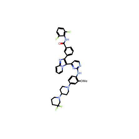 COc1cc(N2CCC(N3CCCC(F)(F)C3)CC2)ccc1Nc1nccc(-c2c(-c3cccc(C(=O)Nc4c(F)cccc4F)c3)nc3ccccn23)n1